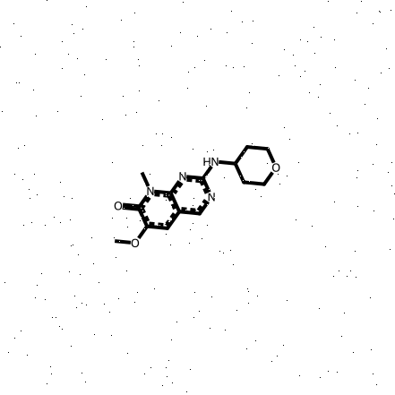 COc1cc2cnc(NC3CCOCC3)nc2n(C)c1=O